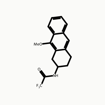 COc1c2c(cc3ccccc13)CCC(NC(=O)C(F)(F)F)C2